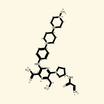 C=CC(=O)N[C@H]1CCN(c2nc(Nc3ccc(N4CCC(N5CCN(C)CC5)CC4)cc3)c(C(N)=O)nc2CC)C1